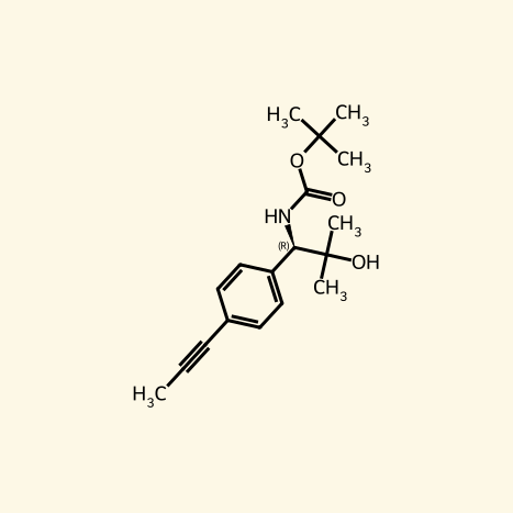 CC#Cc1ccc([C@@H](NC(=O)OC(C)(C)C)C(C)(C)O)cc1